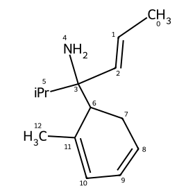 CC=CC(N)(C(C)C)C1CC=CC=C1C